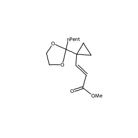 CCCCCC1(C2(/C=C/C(=O)OC)CC2)OCCO1